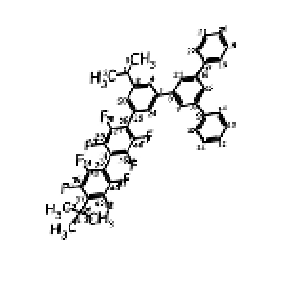 CC(C)c1cc(-c2cc(-c3ccccc3)cc(-c3ccccc3)c2)cc(-c2c(F)c(F)c(-c3c(F)c(F)c(C(C)(C)C)c(F)c3F)c(F)c2F)c1